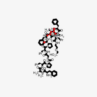 CCCC[C@@H](C(=O)N(C)[C@@H](CCCC)C(=O)N[C@@H](CC(C)C)C(=O)NCCOCC(=O)O)N(C)C(=O)[C@H](Cc1ccccc1)NC(=O)CNC(=O)[C@H](Cc1ccccc1)NC(=O)[C@@H]1CCCN1C(=O)[C@H](CC(C)C)NC(=O)CNC(=O)[C@@H]1CCCN1C(=O)[C@H](CC(C)C)NC(=O)[C@H](C)N(C)C(=O)[C@@H](N)Cc1ccccc1